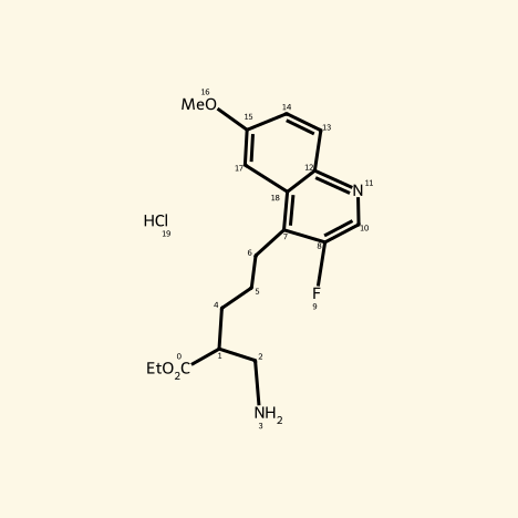 CCOC(=O)C(CN)CCCc1c(F)cnc2ccc(OC)cc12.Cl